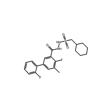 Cc1cc(-c2ccccc2F)cc(C(=O)NNS(=O)(=O)CC2CCCCC2)c1F